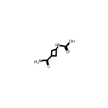 NC(=O)C1CC(NC(=O)O)C1